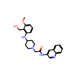 COc1cccc(NC2CCN(CC(=O)Nc3cnc4ccccc4c3)CC2)c1CO